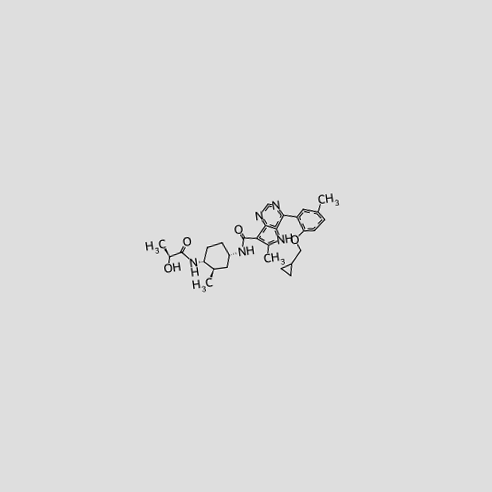 Cc1ccc(OCC2CC2)c(-c2ncnc3c(C(=O)N[C@H]4CC[C@@H](NC(=O)[C@H](C)O)[C@H](C)C4)c(C)[nH]c23)c1